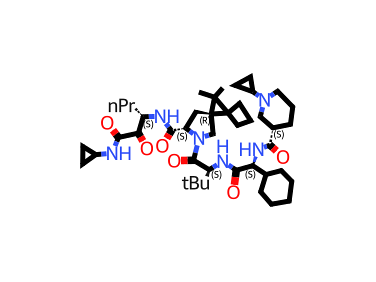 CCC[C@H](NC(=O)[C@@H]1C[C@@]2(CN1C(=O)[C@@H](NC(=O)[C@@H](NC(=O)[C@H]1CCCN(C3CC3)C1)C1CCCCC1)C(C)(C)C)C(C)(C)C21CCC1)C(=O)C(=O)NC1CC1